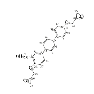 CCCCCCc1cc(C2C=CC(c3ccc(OCC4CO4)cc3)C=C2)ccc1OCC1CO1